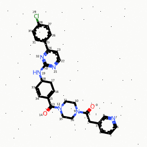 O=C(Cc1cccnc1)N1CCN(C(=O)C2=CCC(Nc3nccc(-c4ccc(Cl)cc4)n3)C=C2)CC1